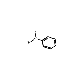 [CH3][Zn]([Br])[c]1ccccc1